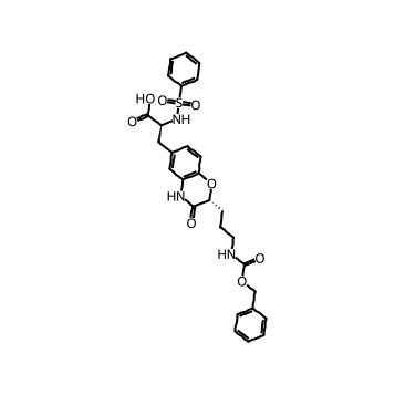 O=C(NCCC[C@H]1Oc2ccc(C[C@H](NS(=O)(=O)c3ccccc3)C(=O)O)cc2NC1=O)OCc1ccccc1